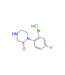 Cl.O=C1CNCCN1c1ccc(F)cc1Br